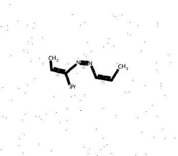 C\C=C/N=N\C(=C/C)C(C)C